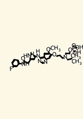 COc1cc2c(Nc3cc(CC(=O)Nc4cccc(F)c4)[nH]n3)ncnc2cc1OCCCN(CCOP(=O)(O)O)CC(C)C